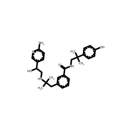 CC(C)(Cc1cccc(C(=O)NCC(C)(C)c2ccc(O)cc2)c1)NCC(O)c1ccc(N)nc1